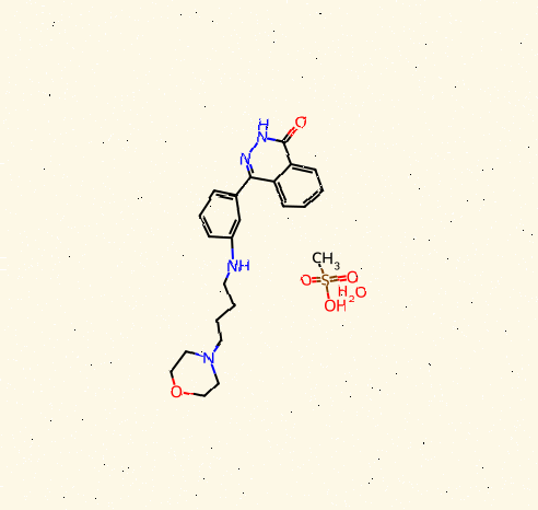 CS(=O)(=O)O.O.O=c1[nH]nc(-c2cccc(NCCCCN3CCOCC3)c2)c2ccccc12